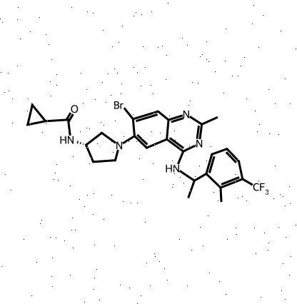 Cc1nc(NC(C)c2cccc(C(F)(F)F)c2C)c2cc(N3CC[C@H](NC(=O)C4CC4)C3)c(Br)cc2n1